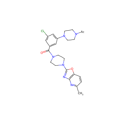 CC(=O)N1CCN(c2cc(Cl)cc(C(=O)N3CCN(c4nc5nc(C)ccc5o4)CC3)c2)CC1